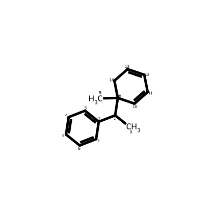 CC(c1ccccc1)C1(C)C=CC=CC1